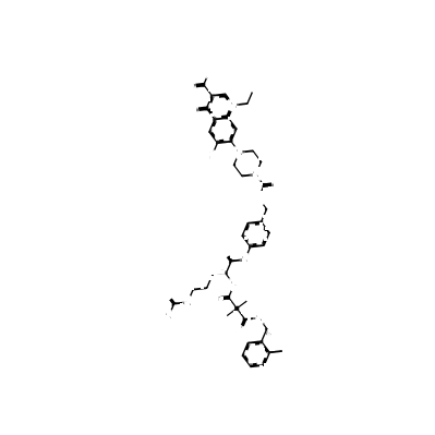 CCn1cc(C(=O)O)c(=O)c2cc(F)c(N3CCN(C(=O)OCc4ccc(NC(=O)[C@H](CCCNC(N)=O)NC(=O)C(C)(C)C(=O)N[C@H](C)c5ccccc5C)cc4)CC3)cc21